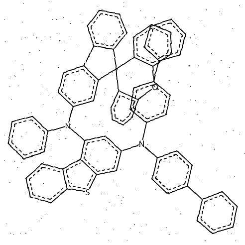 c1ccc(-c2ccc(N(c3ccc(-c4ccccc4)cc3)c3cc(N(c4ccccc4)c4ccc5c(c4)C4(c6ccccc6Oc6ccccc64)c4ccccc4-5)c4c(c3)sc3ccccc34)cc2)cc1